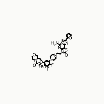 CC(C)(C)OC(=O)N1CCOCC1COc1cc(F)c(F)c(N2CCN(CCn3c(=O)sc4c3nc(N)n3nc(-c5ccco5)nc43)CC2)c1